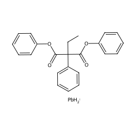 CCC(C(=O)Oc1ccccc1)(C(=O)Oc1ccccc1)c1ccccc1.[PbH2]